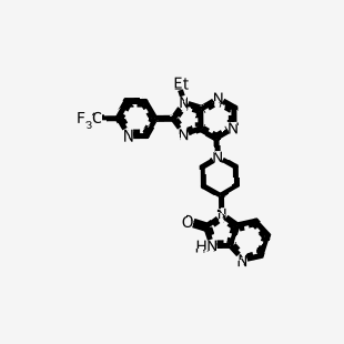 CCn1c(-c2ccc(C(F)(F)F)nc2)nc2c(N3CCC(n4c(=O)[nH]c5ncccc54)CC3)ncnc21